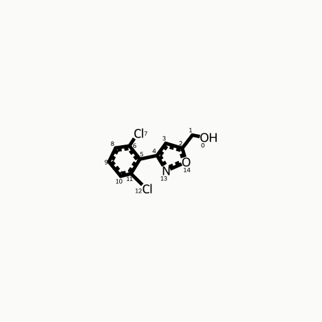 OCc1cc(-c2c(Cl)cccc2Cl)no1